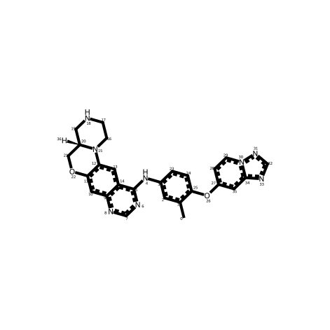 Cc1cc(Nc2ncnc3cc4c(cc23)N2CCNC[C@H]2CO4)ccc1Oc1ccn2ncnc2c1